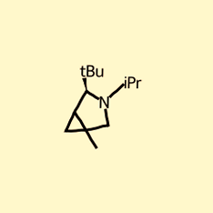 CC(C)N1CC2(C)CC2[C@H]1C(C)(C)C